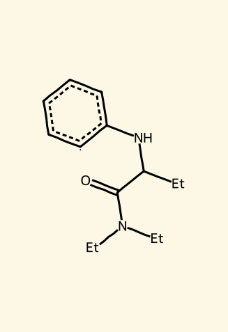 CCC(Nc1[c]cccc1)C(=O)N(CC)CC